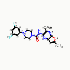 COc1nc2oc(C)cc2nc1NC(=O)N1CCN(c2cc(F)cc(F)c2)CC1